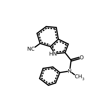 CN(C(=O)c1cc2cccc(C#N)c2[nH]1)c1ccccc1